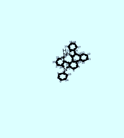 c1ccc(-n2c3ccc4c5ccccc5c5c6ccccc6n6[nH][n+]7cccc2c7c3c4c56)cc1